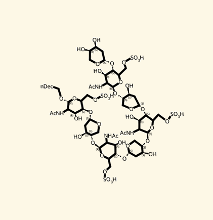 CCCCCCCCCCCO[C@@H]1OC(COS(=O)(=O)O)[C@@H](O[C@H]2C[C@H](O)[C@@H](O[C@@H]3OC(COS(=O)(=O)O)[C@@H](O[C@H]4C[C@H](O)[C@@H](O[C@@H]5OC(COS(=O)(=O)O)[C@@H](O[C@H]6C[C@H](O)[C@@H](O[C@@H]7OC(COS(=O)(=O)O)[C@@H](O[C@H]8C[C@H](O)[C@H](O)CO8)[C@H](O)C7NC(C)=O)CO6)[C@H](O)C5NC(C)=O)CO4)[C@H](O)C3NC(C)=O)CO2)[C@H](O)C1NC(C)=O